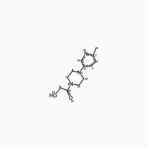 Cc1ccc(N2CCN(C(=O)CO)CC2)cn1